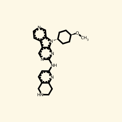 CO[C@H]1CC[C@H](n2c3cnccc3c3cnc(Nc4ccc5c(n4)CCNC5)nc32)CC1